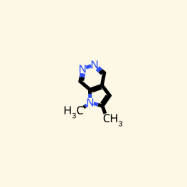 Cc1cc2cnncc2n1C